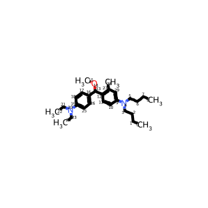 CCCCN(CCCC)c1ccc(C(OC)c2ccc(N(CC)CC)cc2)c(C)c1